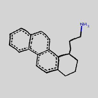 NCCC1CCCc2ccc3c(ccc4ccccc43)c21